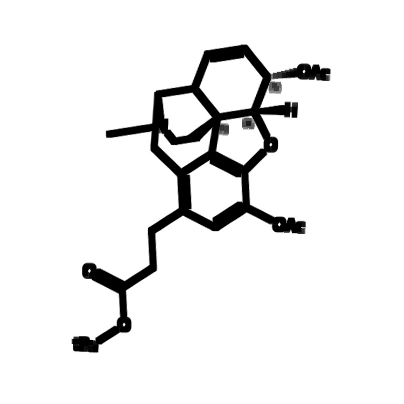 CC(=O)Oc1cc(CCC(=O)OC(C)(C)C)c2c3c1O[C@H]1[C@@H](OC(C)=O)C=CC4C(C2)N(C)CC[C@@]341